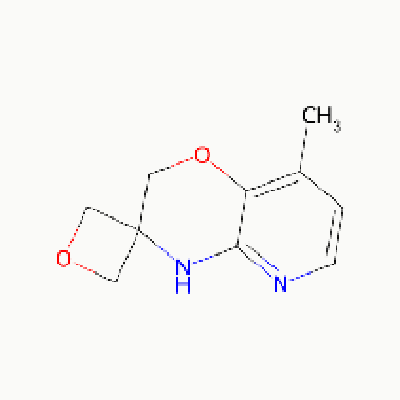 Cc1ccnc2c1OCC1(COC1)N2